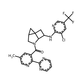 Cc1cnc(-c2ncccn2)c(C(=O)N2CC3CC34CC(Nc3ncc(C(F)(F)F)cc3Cl)C24)c1